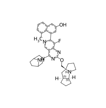 Cc1cccc2cc(O)cc(-c3ncc4c(N5CC6CCC(C5)N6)nc(OC[C@@]56CCCN5[C@H]5CCC[C@H]5C6)nc4c3F)c12